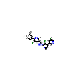 C=C(C)/C=C(\C=C/C)c1ncc(CNc2nccc(-c3cncc(F)c3)c2F)cc1F